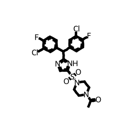 CC(=O)N1CCN(S(=O)(=O)c2cnc(C(c3ccc(F)c(Cl)c3)c3ccc(F)c(Cl)c3)[nH]2)CC1